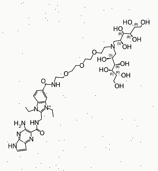 CCn1c(CNC(=O)c2nc3cc[nH]c3nc2N)[n+](CC)c2cc(C(=O)NCCOCCOCCOCCN(C[C@H](O)[C@@H](O)[C@H](O)[C@H](O)CO)C[C@H](O)[C@@H](O)[C@H](O)[C@H](O)CO)ccc21